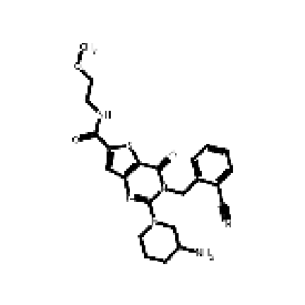 COCCNC(=O)c1cc2nc(N3CCCC(N)C3)n(Cc3ccccc3C#N)c(=O)c2s1